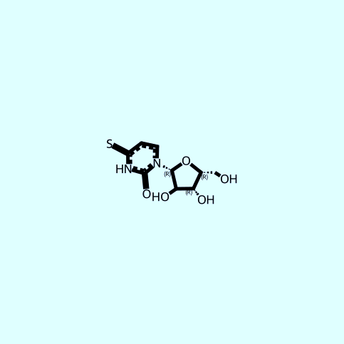 O=c1[nH]c(=S)ccn1[C@@H]1O[C@H](CO)[C@H](O)C1O